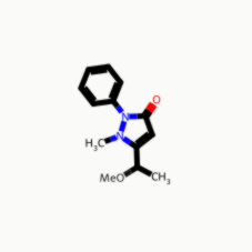 COC(C)c1cc(=O)n(-c2ccccc2)n1C